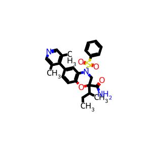 CCC(C)C1(C(N)=O)CN(S(=O)(=O)c2ccccc2)c2cc(-c3c(C)cncc3C)ccc2O1